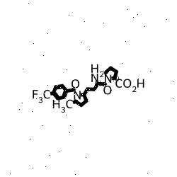 CC1CCC(CC[C@H](N)C(=O)N2CCC[C@H]2C(=O)O)N1C(=O)c1ccc(C(F)(F)F)cc1